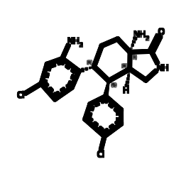 Nc1cc(Cl)ccc1[C@@H]1CC[C@@]2(N)C(=O)NC[C@H]2[C@H]1c1ccc(Cl)cc1